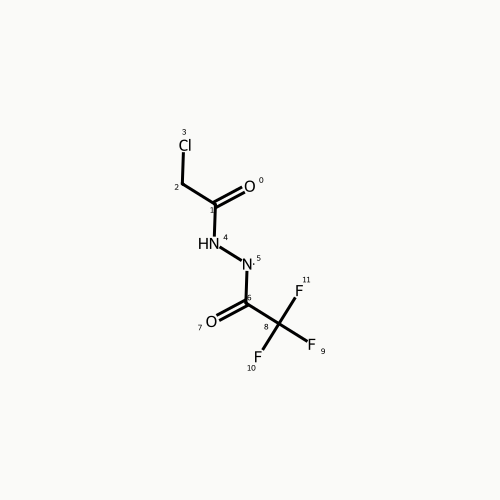 O=C(CCl)N[N]C(=O)C(F)(F)F